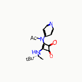 CC(=O)N(c1ccncc1)c1c(N[C@H](C)C(C)(C)C)c(=O)c1=O